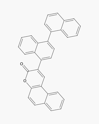 O=c1oc2ccc3ccccc3c2cc1-c1ccc(-c2cccc3ccccc23)c2ccccc12